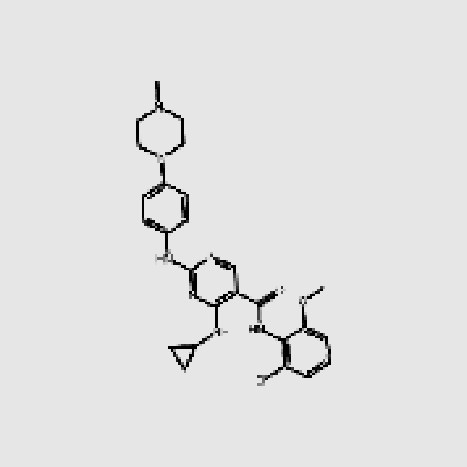 COc1cccc(Cl)c1NC(=O)c1cnc(Nc2ccc(N3CCN(C)CC3)cc2)nc1NC1CC1